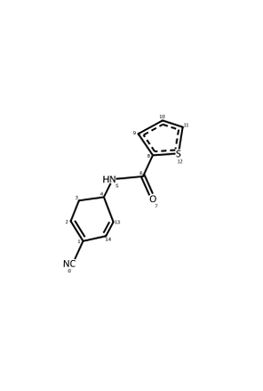 N#CC1=CCC(NC(=O)c2cccs2)C=C1